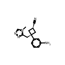 Cn1cnnc1C[C@]1(c2cccc(N)c2)C[C@H](C#N)C1